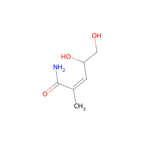 CC(=CC(O)CO)C(N)=O